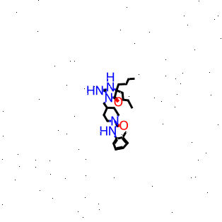 CCCCC1(CCCC)NC(=N)N(CC2CCN(C(=O)Nc3ccccc3C)CC2)C1=O